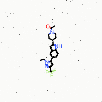 CCn1nc(C(F)(F)F)cc1-c1ccc2[nH]c(C3CCN(C(C)=O)CC3)cc2c1